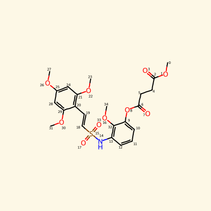 COC(=O)CCC(=O)Oc1cccc(NS(=O)(=O)C=Cc2c(OC)cc(OC)cc2OC)c1OC